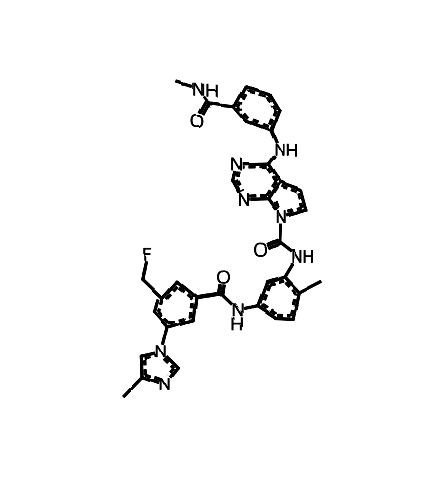 CNC(=O)c1cccc(Nc2ncnc3c2ccn3C(=O)Nc2cc(NC(=O)c3cc(CF)cc(-n4cnc(C)c4)c3)ccc2C)c1